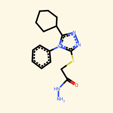 NNC(=O)CSc1nnc(C2CCCCC2)n1-c1ccccc1